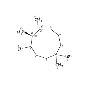 CCC1CCC(C)(C(C)(C)C)CCC[C@@H](C)[C@@H]1N